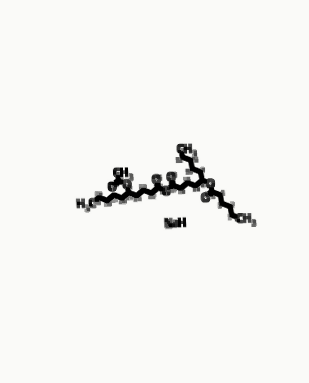 CCCCCC(=O)OC(CCCCC)CCCC(=O)OC(=O)CCCC(CCCCC)OC(C)=O.[NaH]